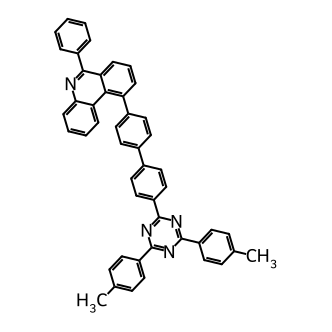 Cc1ccc(-c2nc(-c3ccc(C)cc3)nc(-c3ccc(-c4ccc(-c5cccc6c(-c7ccccc7)nc7ccccc7c56)cc4)cc3)n2)cc1